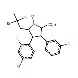 CCN1C(CC(C)(CC)CC)C(c2ccc(Cl)cc2F)C(c2cccc(Cl)c2)C1C(=O)O